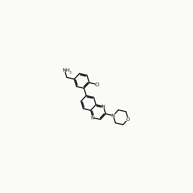 NCc1ccc(Cl)c(-c2ccc3ncc(N4CCOCC4)nc3c2)c1